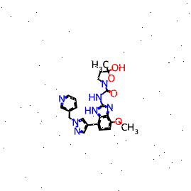 COc1ccc(-c2cnn(Cc3cccnc3)c2)c2[nH]c(NC(=O)N3CCC(C)(O)O3)nc12